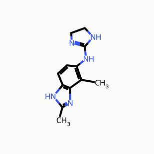 Cc1nc2c(C)c(NC3=NCCN3)ccc2[nH]1